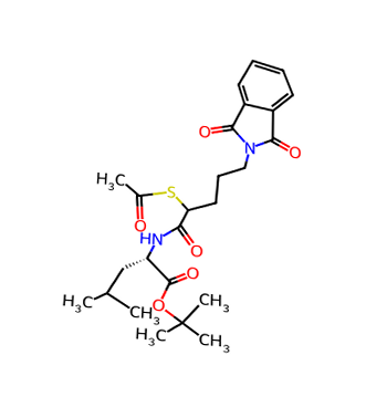 CC(=O)SC(CCCN1C(=O)c2ccccc2C1=O)C(=O)N[C@@H](CC(C)C)C(=O)OC(C)(C)C